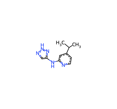 CC(C)c1ccnc(Nc2cn[nH]n2)c1